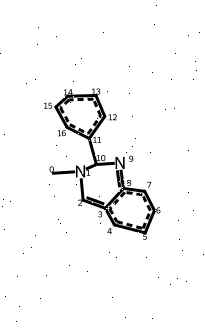 CN1C=c2ccccc2=NC1c1ccccc1